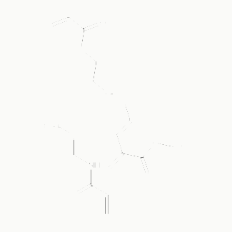 C=C(C=CC(=O)O)C(=O)OCCCC.C=CC(=O)NCOCCCC.C=CC(=O)OCCO